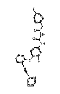 O=C(Cc1ccc(F)cc1)NC(=O)Nc1ccc(Oc2ccncc2C#Cc2ccccn2)c(F)c1